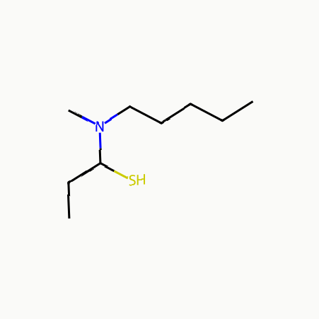 CCCCCN(C)C(S)CC